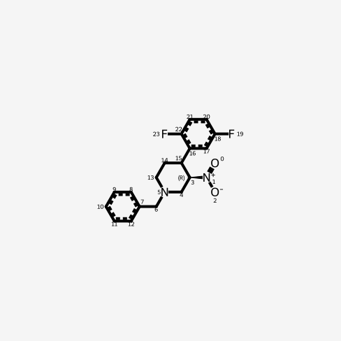 O=[N+]([O-])[C@H]1CN(Cc2ccccc2)CCC1c1cc(F)ccc1F